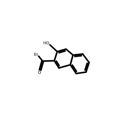 CCC(=O)c1cc2ccccc2cc1O